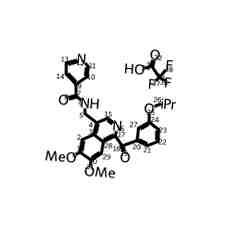 COc1cc2c(CNC(=O)c3ccncc3)cnc(C(=O)c3cccc(OC(C)C)c3)c2cc1OC.O=C(O)C(F)(F)F